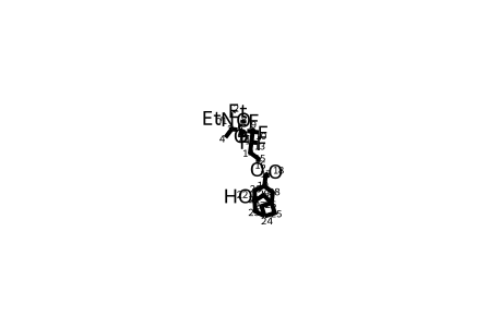 CCN(CC)C(C)S(=O)(=O)C(F)(F)C(F)(F)CCOC(=O)C1CC2(O)CC3CC(C3)(C1)C2